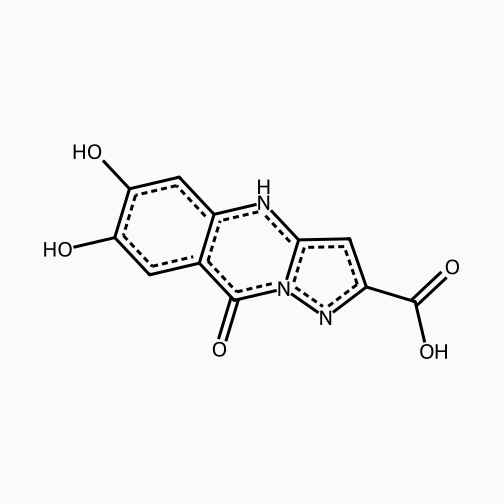 O=C(O)c1cc2[nH]c3cc(O)c(O)cc3c(=O)n2n1